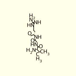 CC(C)[C@@H](N)C(=O)NCC(=O)N[C@H](C=O)CCCNC(=N)N